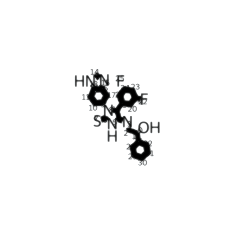 OC(CN=C1NC(=S)N(c2ccc3[nH]cnc3c2)C1c1cc(F)cc(F)c1)c1ccccc1